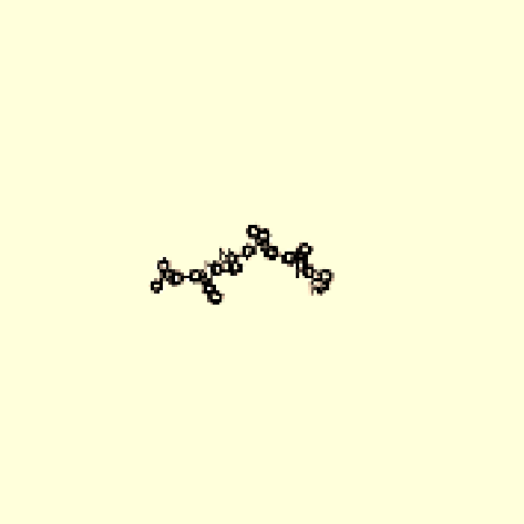 c1ccc(-n2c3ccccc3c3cc(-c4ccc5c(c4)c4cc6ccccc6cc4n5-c4cc5c(cn4)-c4ncc(-c6ccc(-n7c8ccc(-c9ccc%10c(c9)c9ccccc9n%10-c9cc%10c(cn9)-c9nccc%11cccc-%10c9%11)cc8c8ccc9ccccc9c87)cc6)c6cccc-5c46)ccc32)cc1